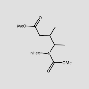 CCCCCCN(C(=O)OC)C(C)C(C)CC(=O)OC